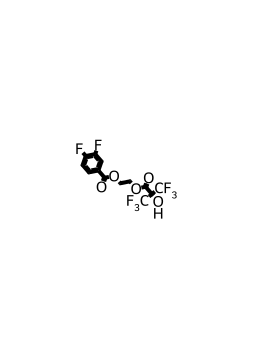 O=C(OCCOC(=O)C(O)(C(F)(F)F)C(F)(F)F)c1ccc(F)c(F)c1